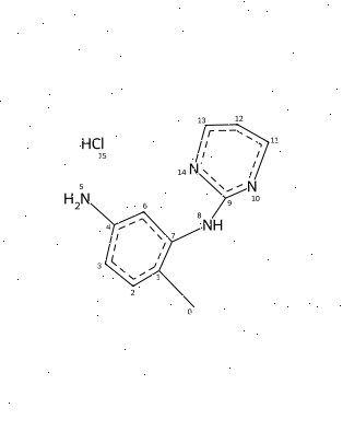 Cc1ccc(N)cc1Nc1ncccn1.Cl